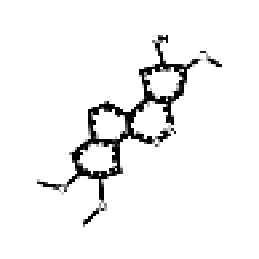 COc1cc2nnc3c4cc(OC)c(OC)cc4ccc3c2cc1O